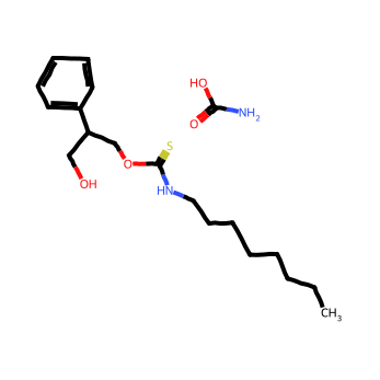 CCCCCCCCNC(=S)OCC(CO)c1ccccc1.NC(=O)O